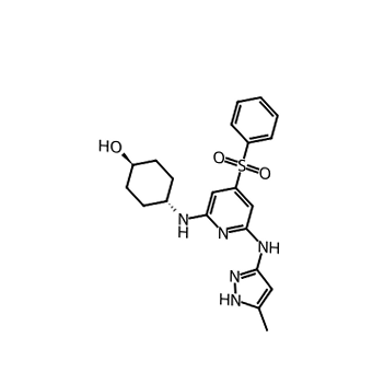 Cc1cc(Nc2cc(S(=O)(=O)c3ccccc3)cc(N[C@H]3CC[C@H](O)CC3)n2)n[nH]1